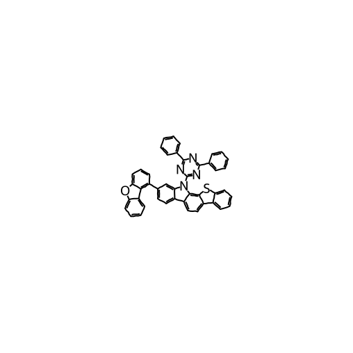 c1ccc(-c2nc(-c3ccccc3)nc(-n3c4cc(-c5cccc6oc7ccccc7c56)ccc4c4ccc5c6ccccc6sc5c43)n2)cc1